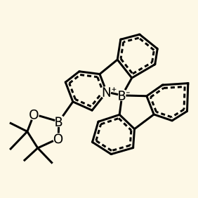 CC1(C)OB(c2ccc3[n+](c2)[B-]2(c4ccccc4-c4ccccc42)c2ccccc2-3)OC1(C)C